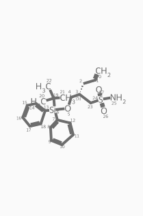 C=CC[C@@H](CO[Si](c1ccccc1)(c1ccccc1)C(C)(C)C)CS(N)(=O)=O